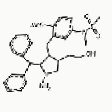 COc1ccc(N(C)S(C)(=O)=O)cc1CC1C(CCO)CN(N)C1C(c1ccccc1)c1ccccc1